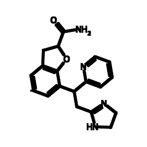 NC(=O)C1Cc2c[c]cc(C(CC3=NCCN3)c3ccccn3)c2O1